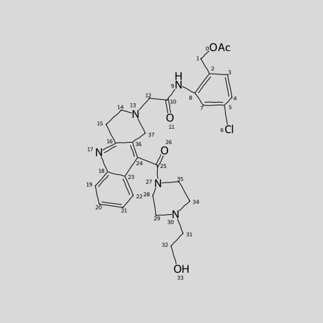 CC(=O)OCc1ccc(Cl)cc1NC(=O)CN1CCc2nc3ccccc3c(C(=O)N3CCN(CCO)CC3)c2C1